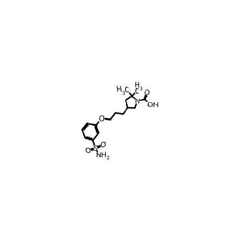 CC1(C)CC(CCCOc2cccc(S(N)(=O)=O)c2)CN1C(=O)O